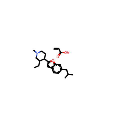 C=CC(=O)O.CCC1CN(C)CCC1c1cc2ccc(CC(C)C)cc2o1